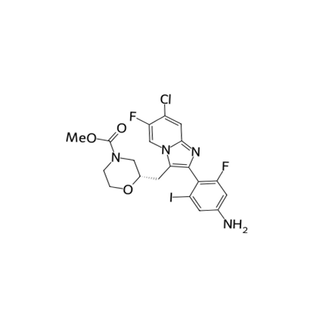 COC(=O)N1CCO[C@@H](Cc2c(-c3c(F)cc(N)cc3I)nc3cc(Cl)c(F)cn23)C1